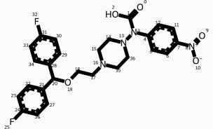 O=C(O)N(c1ccc([N+](=O)[O-])cc1)N1CCN(CCOC(c2ccc(F)cc2)c2ccc(F)cc2)CC1